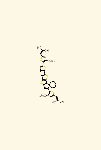 COc1cc(C=C(C#N)C#N)sc1C1=Cc2sc3c(sc4c5sc(-c6sc(C=C(C#N)C#N)cc6OC)cc5sc34)c2C12CCCCC2